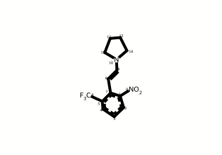 O=[N+]([O-])c1cccc(C(F)(F)F)c1C=CN1CCCC1